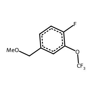 COCc1ccc(F)c(OC(F)(F)F)c1